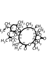 CC[C@H]1OC(=O)[C@H](C)[C@@H](O)[C@H](C)[C@@H](O[C@@H]2O[C@H](C)C[C@H](N(C)C)[C@H]2OC(C)=O)[C@](C)(O)C[C@@H](C)CN(C)[C@H](C)[C@H]2OC(=O)O[C@@]21C